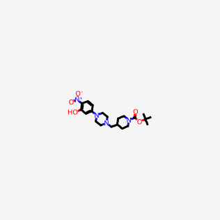 CC(C)(C)OC(=O)N1CCC(CN2CCN(c3ccc([N+](=O)[O-])c(O)c3)CC2)CC1